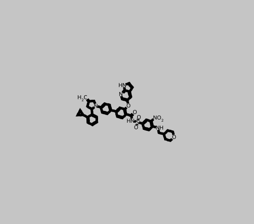 C=C1CC(c2ccccc2C2CC2)N(c2ccc(-c3ccc(C(=O)NS(=O)(=O)c4ccc(NCC5CCOCC5)c([N+](=O)[O-])c4)c(Oc4cnc5[nH]ccc5c4)c3)cc2)C1